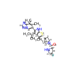 Cc1c(-c2[nH]c3sc([C@@H]4CC5CC4CN5C(=O)[C@@H]4C[C@H](F)CN4)c(C)c3c2C(C)C)cn2ncnc2c1C